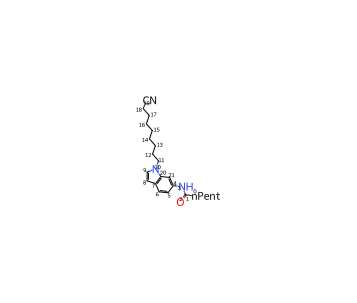 CCCCCC(=O)Nc1ccc2ccn(CCCCCCCCC#N)c2c1